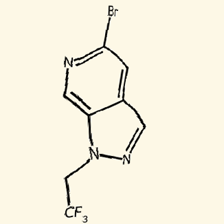 FC(F)(F)Cn1ncc2cc(Br)ncc21